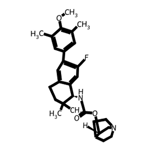 COc1c(C)cc(-c2cc3c(cc2F)[C@H](NC(=O)O[C@@H]2CN4CCC2CC4)C(C)(C)CC3)cc1C